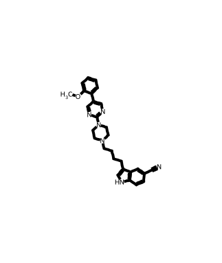 COc1ccccc1-c1cnc(N2CCN(CCCCc3c[nH]c4ccc(C#N)cc34)CC2)nc1